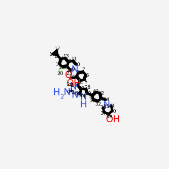 Nc1nc(-c2cccc(-n3ccc4cc(C5CC5)cc(F)c4c3=O)c2CO)c2cc(-c3ccc(CN4CCC(O)CC4)cc3)[nH]c2n1